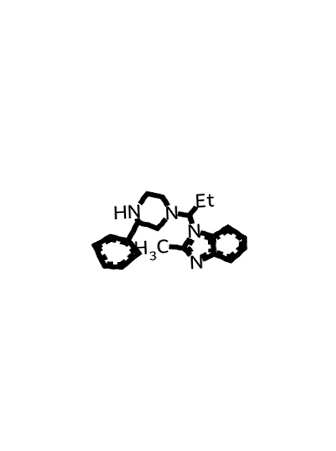 CCC(N1CCNC(c2ccccc2)C1)n1c(C)nc2ccccc21